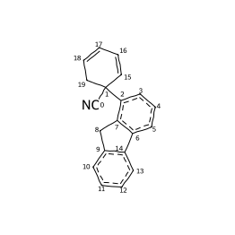 N#CC1(c2cccc3c2Cc2ccccc2-3)C=CC=CC1